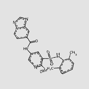 COc1ncc(NC(=O)c2ccn3ncnc3c2)cc1S(=O)(=O)Nc1c(C)cccc1C